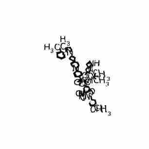 CC(C)Oc1nc2[nH]ccc2cc1Oc1cc(N2CCC3(CC2)CC(N2CCC[C@H]2c2ccccc2C(C)C)C3)ccc1C(=O)NS(=O)(=O)c1cc2c(c([N+](=O)[O-])c1)N[C@@H]([C@H]1CC[C@](C)(O)CC1)CO2